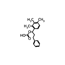 Cc1ccc(C(CCc2ccccc2)OC(=O)O)c(C)c1C